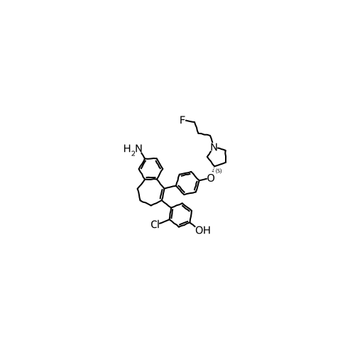 Nc1ccc2c(c1)CCCC(c1ccc(O)cc1Cl)=C2c1ccc(O[C@H]2CCN(CCCF)C2)cc1